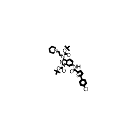 CC(C)(C)OC(=O)N(CCN1CCCCC1)C1=NN(C(=O)OC(C)(C)C)C2C=C(NC(=O)c3ccc(-c4ccc(Cl)cc4)s3)C=CC12